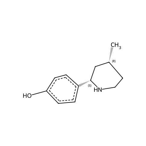 C[C@@H]1CCN[C@H](c2ccc(O)cc2)C1